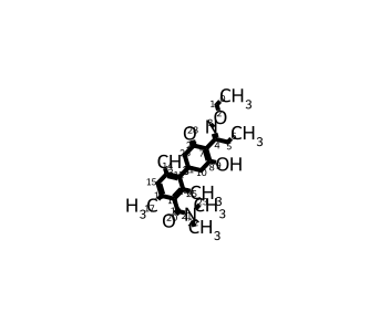 CCON=C(CC)C1=C(O)CC(c2c(C)cc(C)c(C(=O)N(C)C)c2C)CC1=O